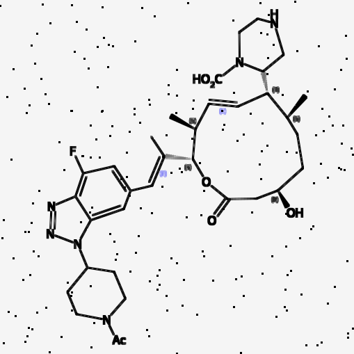 CC(=O)N1CCC(n2nnc3c(F)cc(/C=C(\C)[C@H]4OC(=O)C[C@H](O)CC[C@H](C)[C@@H](C5CNCCN5C(=O)O)/C=C/[C@@H]4C)cc32)CC1